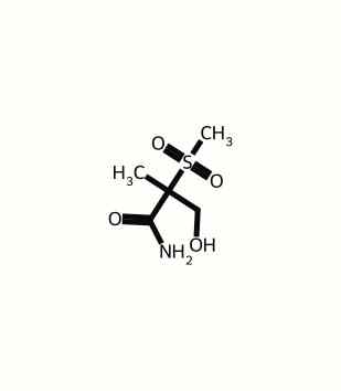 CC(CO)(C(N)=O)S(C)(=O)=O